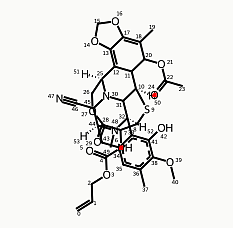 C=CCOC(=O)NC1CS[C@@H]2C3C(=C4OCOC4=C(C)C3OC(C)=O)[C@H](COC1=O)N1C2[C@H]2c3c(cc(C)c(OC)c3O)C[C@@H](C1C#N)N2C